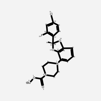 CC(C)(C)OC(=O)N1CCN(c2cccc3c2O[C@](C)(c2ccc(Cl)cc2F)O3)CC1